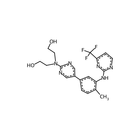 Cc1ccc(-c2cnc(N(CCO)CCO)nc2)cc1Nc1nccc(C(F)(F)F)n1